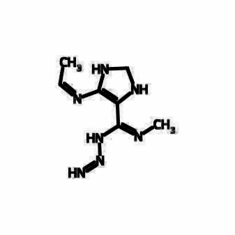 C/C=N\C1=C(C(=N\C)/NN=N)NCN1